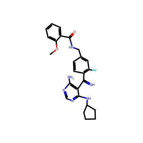 COc1ccccc1C(=O)NCc1ccc(C(=N)c2c(N)ncnc2NC2CCCC2)c(F)c1